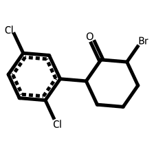 O=C1C(Br)CCCC1c1cc(Cl)ccc1Cl